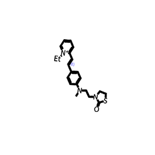 CC[n+]1ccccc1/C=C/c1ccc(N(C)CCN2CCSC2=O)cc1